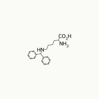 NC(CCCCNC(c1ccccc1)c1ccccc1)C(=O)O